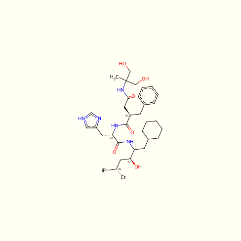 CC[C@@H](C[C@H](O)C(CC1CCCCC1)NC(=O)[C@H](Cc1c[nH]cn1)NC(=O)[C@@H](CC(=O)NC(C)(CO)CO)Cc1ccccc1)C(C)C